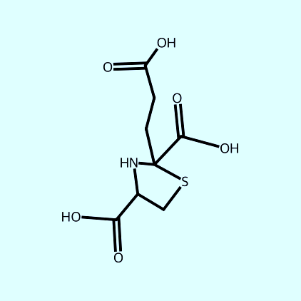 O=C(O)CCC1(C(=O)O)NC(C(=O)O)CS1